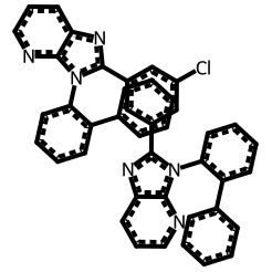 Clc1cc(-c2nc3cccnc3n2-c2ccccc2-c2ccccc2)cc(-c2nc3cccnc3n2-c2ccccc2-c2ccccc2)c1